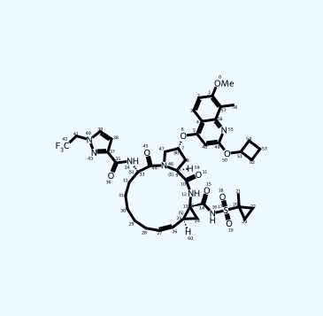 COc1ccc2c(O[C@@H]3C[C@H]4C(=O)N[C@]5(C(=O)NS(=O)(=O)C6(C)CC6)C[C@H]5C=CCCCCC[C@H](NC(=O)c5ccn(CC(F)(F)F)n5)C(=O)N4C3)cc(OC3CCC3)nc2c1C